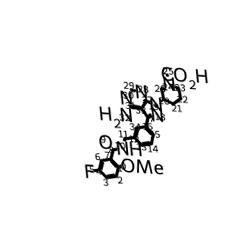 COc1ccc(F)cc1C(=O)NCc1cccc(-c2nn([C@@H]3CCCN(C(=O)O)C3)c3ncnc(N)c23)c1